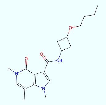 CCCCOC1CC(NC(=O)c2cn(C)c3c(C)cn(C)c(=O)c23)C1